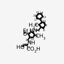 CCOc1cc(NCc2cccc(-c3ccccc3)c2C)c(C)cc1CN[C@H](CO)C(=O)O